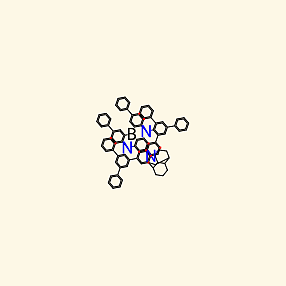 c1ccc(-c2ccc3c(c2)B2c4cc(-c5ccccc5)ccc4N(c4c(-c5ccccc5)cc(-c5ccccc5)cc4-c4ccccc4)c4cc(N5C6CC7CC5C5CCCC7C5C6)cc(c42)N3c2c(-c3ccccc3)cc(-c3ccccc3)cc2-c2ccccc2)cc1